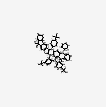 CC(C)(C)c1ccc(N2c3cc4c(c5c3B(c3cc(C(C)(C)C)ccc3N5C3=CCC(C(C)(C)C)C=C3)c3sc5cc6c(cc5c32)-c2ccccc2C6(C)C)C(C)(C)c2ccccc2N4C2=CCCC=C2)cc1